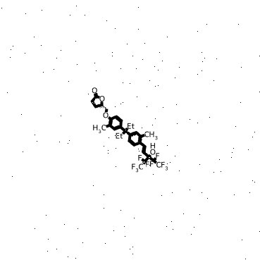 CCC(CC)(c1ccc(C=CC(O)(C(F)(F)C(F)(F)F)C(F)(F)C(F)(F)F)c(C)c1)c1ccc(OC[C@@H]2CCC(=O)O2)c(C)c1